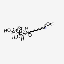 CCCCCCCC/C=C\CCCCCCCC(=O)NCC(=O)N[C@@H](C)C(=O)N[C@H](C(=O)O)C(C)C